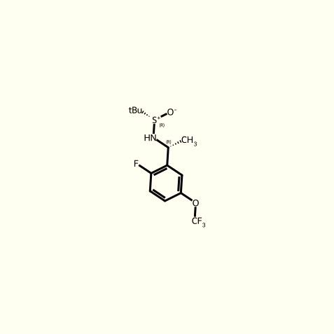 C[C@@H](N[S@@+]([O-])C(C)(C)C)c1cc(OC(F)(F)F)ccc1F